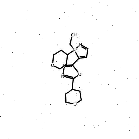 CC[N+]1(C2CCOCC2)N=CC=C1c1nnc(C2CCOCC2)o1